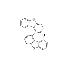 Clc1cccc2oc3cccc(-c4cccc5sc6ccccc6c45)c3c12